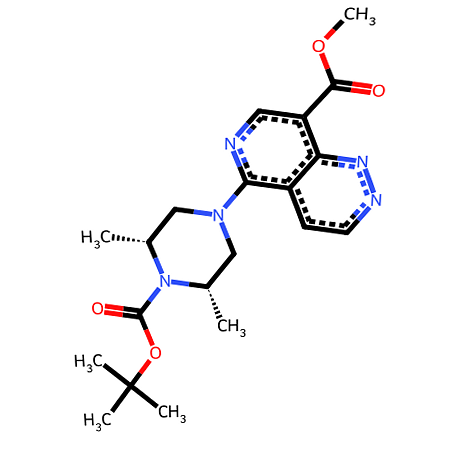 COC(=O)c1cnc(N2C[C@@H](C)N(C(=O)OC(C)(C)C)[C@@H](C)C2)c2ccnnc12